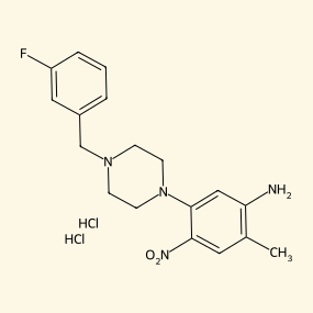 Cc1cc([N+](=O)[O-])c(N2CCN(Cc3cccc(F)c3)CC2)cc1N.Cl.Cl